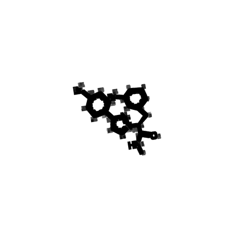 CNC(=O)[C@H](Cc1cccc(Br)c1)n1ccc(-c2ccc(Br)cc2)n1